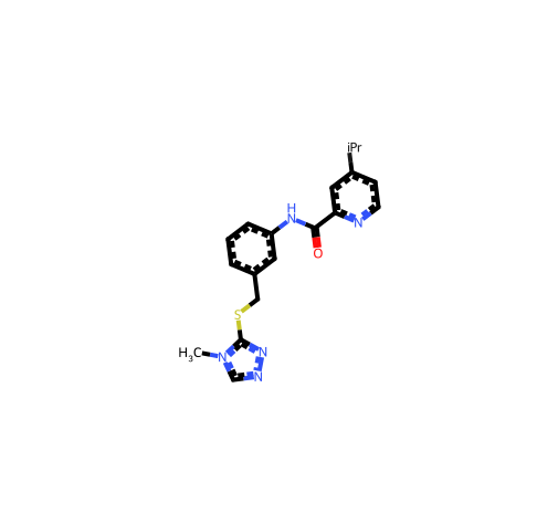 CC(C)c1ccnc(C(=O)Nc2cccc(CSc3nncn3C)c2)c1